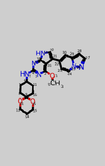 COc1nc(NC2CCC3(CC2)OCCCO3)nc2[nH]cc(-c3ccn4nccc4c3)c12